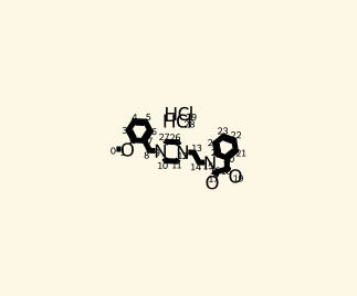 COc1ccccc1CN1CCN(CCN2C(=O)C(=O)c3ccccc32)CC1.Cl.Cl